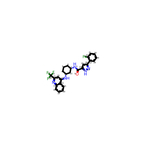 O=C(N[C@@H]1CCC[C@H](Nc2cc(C(F)(F)F)nc3ccccc23)C1)c1cc(-c2ccccc2F)n[nH]1